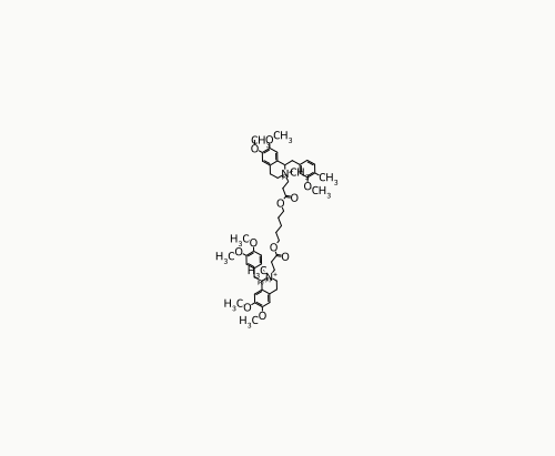 COc1cc(CC2c3cc(OC)c(OC)cc3CC[N@+]2(C)CCC(=O)OCCCCCOC(=O)CC[N@@+]2(C)CCc3cc(OC)c(OC)cc3[C@H]2Cc2ccc(OC)c(OC)c2)ccc1C